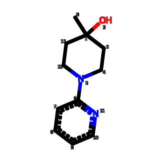 CC1(O)CCN(c2ccccn2)CC1